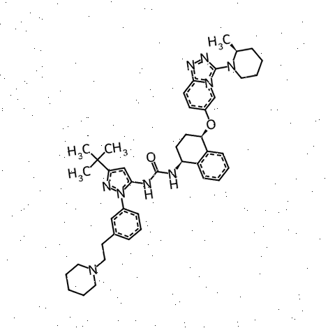 C[C@H]1CCCCN1c1nnc2ccc(O[C@@H]3CC[C@H](NC(=O)Nc4cc(C(C)(C)C)nn4-c4cccc(CCN5CCCCC5)c4)c4ccccc43)cn12